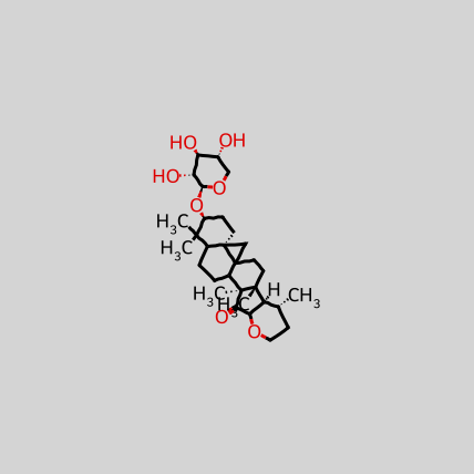 C[C@@H]1CCOC2C(=O)[C@@]3(C)C4CCC5C(C)(C)[C@@H](O[C@@H]6OC[C@@H](O)[C@H](O)[C@H]6O)CC[C@@]56CC46CC[C@]3(C)[C@H]21